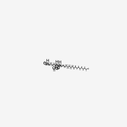 CCCCCCCCCCCCCCCCCCNC(=O)NC(CCCCNC=O)C(=O)OC